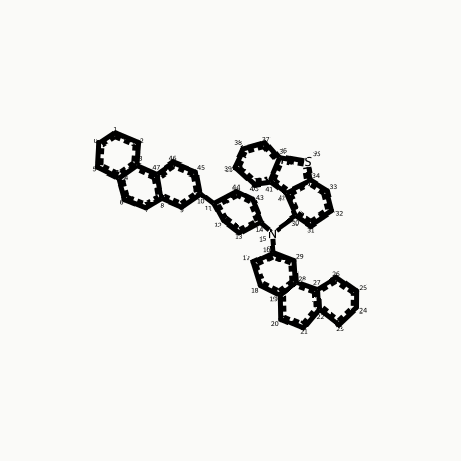 c1ccc2c(c1)ccc1cc(-c3ccc(N(c4ccc5ccc6ccccc6c5c4)c4cccc5sc6ccccc6c45)cc3)ccc12